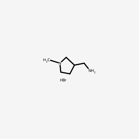 Br.CN1CCC(CN)C1